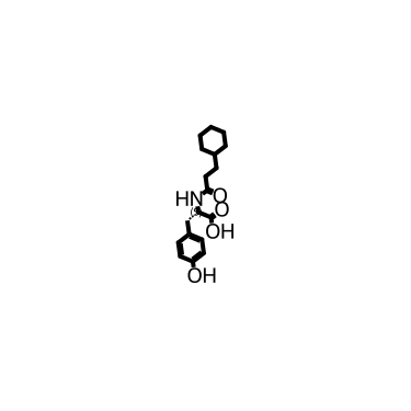 O=C(CCC1CCCCC1)N[C@@H](Cc1ccc(O)cc1)C(=O)O